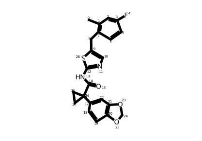 Cc1cc(F)ccc1Cc1cnc(NC(=O)C2(c3ccc4c(c3)OCO4)CC2)s1